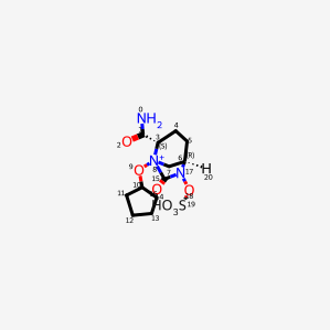 NC(=O)[C@@H]1CC[C@@H]2C[N+]1(OC1CCCC1)C(=O)N2OS(=O)(=O)O